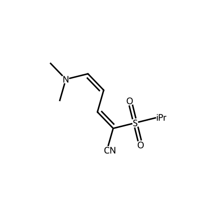 CC(C)S(=O)(=O)/C(C#N)=C\C=C/N(C)C